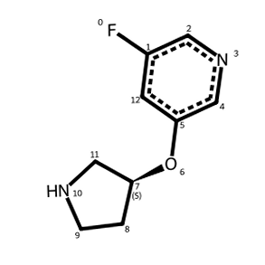 Fc1cncc(O[C@H]2CCNC2)c1